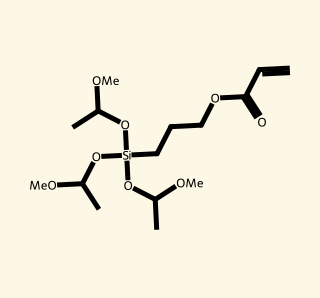 C=CC(=O)OCCC[Si](OC(C)OC)(OC(C)OC)OC(C)OC